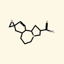 NC(=O)C1CC2C3C=CC4(CO4)CC3CCCN2C1